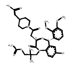 COc1cccc([C@H]2O[C@H](CC(=O)N3CCC(CC(=O)O)CC3)C(=O)N(CC(C)(C)COC(C)=O)c3ccc(Cl)cc32)c1OC